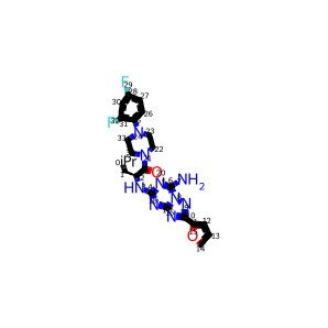 CC(C)C[C@H](Nc1nc(N)n2nc(-c3ccco3)nc2n1)C(=O)N1CCN(c2ccc(F)cc2F)CC1